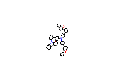 c1ccc(-n2c3ccccc3c3ccccc32)c(-c2ccc(N(c3ccc(-c4ccc5oc6ccccc6c5c4)cc3)c3ccc(-c4cccc5oc6c7ccccc7ccc6c45)cc3)cc2)c1